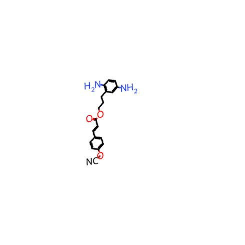 N#COc1ccc(/C=C/C(=O)OCCCc2cc(N)ccc2N)cc1